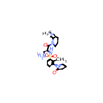 Cc1c(N2CCCC2=O)cccc1S(=O)(=O)N[C@@H](CN)C(=O)N1CCCC2CN(C)CC21